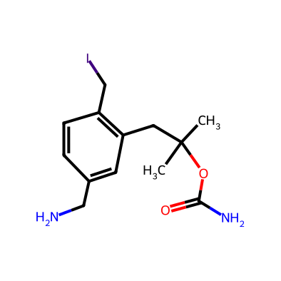 CC(C)(Cc1cc(CN)ccc1CI)OC(N)=O